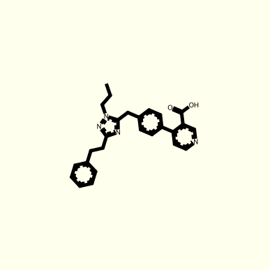 CCCn1nc(CCc2ccccc2)nc1Cc1ccc(-c2ccncc2C(=O)O)cc1